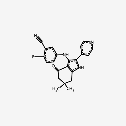 CC1(C)CC(=O)c2c([nH]c(-c3ccncc3)c2Nc2ccc(F)c(C#N)c2)C1